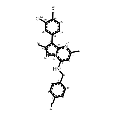 Cc1cc(NCc2ccc(F)cc2)n2nc(C)c(-c3ccc(Cl)c(Cl)c3)c2n1